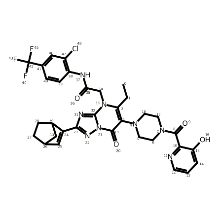 CCc1c(N2CCN(C(=O)c3ncccc3O)CC2)c(=O)n2nc(C3=CC4CCC3C4)nc2n1CC(=O)Nc1ccc(C(F)(F)F)cc1Cl